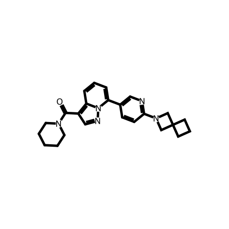 O=C(c1cnn2c(-c3ccc(N4CC5(CCC5)C4)nc3)cccc12)N1CCCCC1